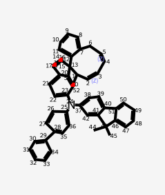 CC1/C=C\C=C/Cc2ccccc2C12c1ccccc1-c1ccc(N(c3ccc(-c4ccccc4)cc3)c3ccc4c(c3)C(C)(C)c3ccccc3-4)cc12